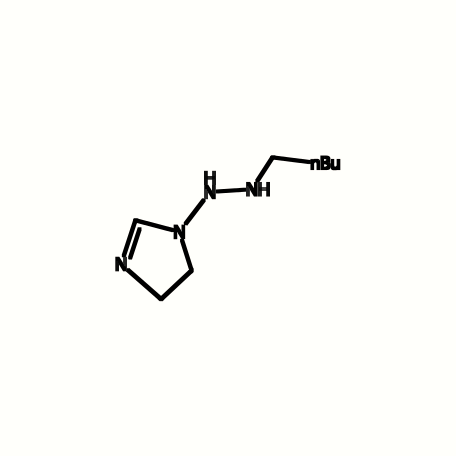 CCCCCNNN1C=NCC1